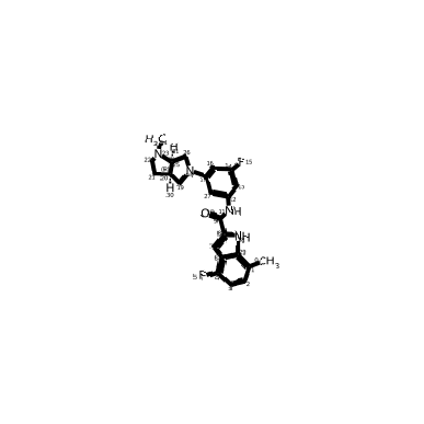 Cc1ccc(F)c2cc(C(=O)Nc3cc(F)cc(N4C[C@H]5CCN(C)[C@H]5C4)c3)[nH]c12